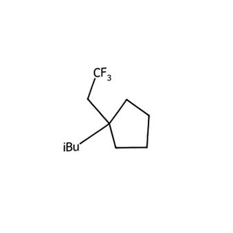 CCC(C)C1(CC(F)(F)F)CCCC1